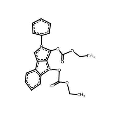 CCOC(=O)Oc1c2c(cn1-c1ccccc1)c1ccccc1n2OC(=O)OCC